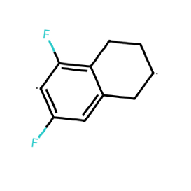 Fc1[c]c(F)c2c(c1)C[CH]CC2